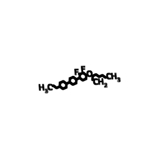 C=CC(CCCCC)OC1CCC(C2CCC(C3CCC(CCC)CC3)CC2)C(F)C1F